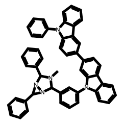 CN1C(c2ccccc2)N2C(c3ccccc3)N2C1c1cccc(-n2c3ccccc3c3ccc(-c4ccc5c(c4)c4ccccc4n5-c4ccccc4)cc32)c1